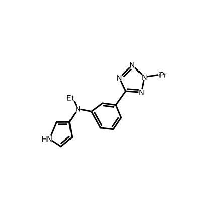 CCN(c1cc[nH]c1)c1cccc(-c2nnn(C(C)C)n2)c1